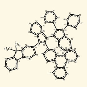 CC1(C)c2ccccc2-c2ccc(-n3c(-c4ccc5c6ccccc6c6ccccc6c5c4)c(-c4c(-c5ccccc5)n(-c5ccccc5)c5ccccc45)c4ccccc43)cc21